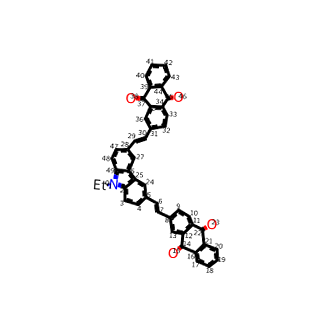 CCn1c2ccc(C=Cc3ccc4c(c3)C(=O)c3ccccc3C4=O)cc2c2cc(C=Cc3ccc4c(c3)C(=O)c3ccccc3C4=O)ccc21